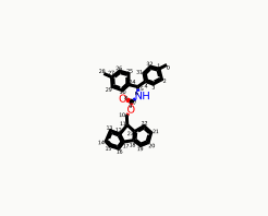 Cc1ccc(C(NC(=O)OCC2c3ccccc3-c3ccccc32)c2ccc(C)cc2)cc1